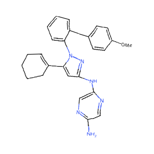 COc1ccc(-c2ccccc2-n2nc(Nc3cnc(N)cn3)cc2C2=CCCCC2)cc1